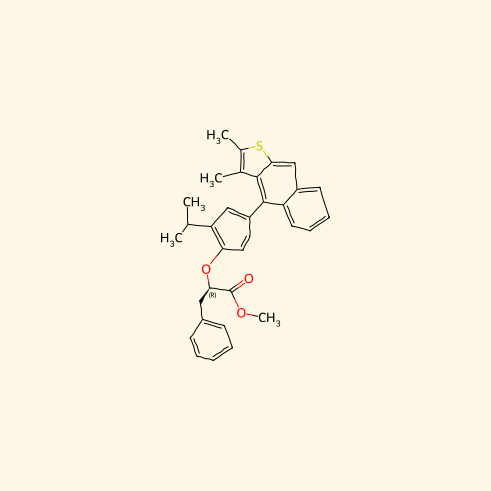 COC(=O)[C@@H](Cc1ccccc1)Oc1ccc(-c2c3ccccc3cc3sc(C)c(C)c23)cc1C(C)C